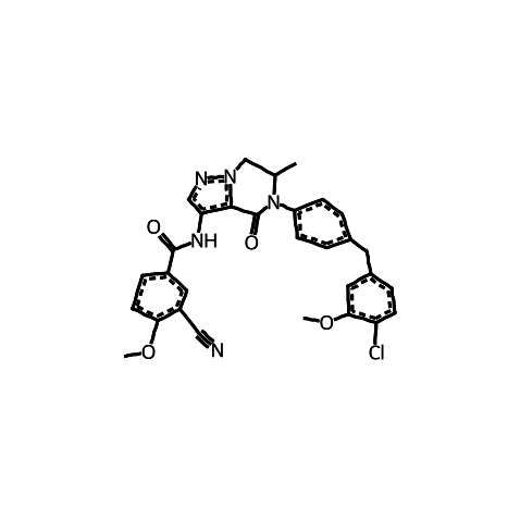 COc1cc(Cc2ccc(N3C(=O)c4c(NC(=O)c5ccc(OC)c(C#N)c5)cnn4CC3C)cc2)ccc1Cl